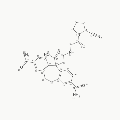 N#CC1CCCN1C(=O)CNCCC1(C(=O)O)c2ccc(C(N)=O)cc2CCc2cc(C(N)=O)ccc21